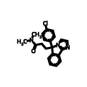 CN(C)C(=O)CCC1(c2ccc(Cl)cc2)c2ccccc2-c2nccn21